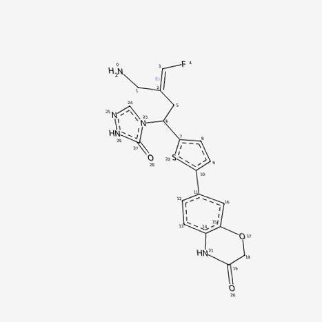 NC/C(=C/F)CC(c1ccc(-c2ccc3c(c2)OCC(=O)N3)s1)n1cn[nH]c1=O